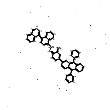 N=C1C=C(c2ccc3c(-c4ccccc4)c4ccccc4c(-c4ccccc4)c3c2)C=C/C1=N/Nc1ccc(-c2cncc3ccccc23)c2ccccc12